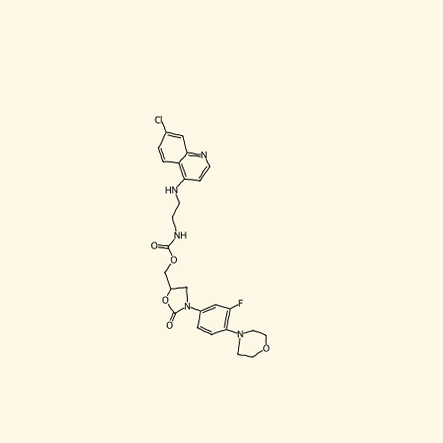 O=C(NCCNc1ccnc2cc(Cl)ccc12)OCC1CN(c2ccc(N3CCOCC3)c(F)c2)C(=O)O1